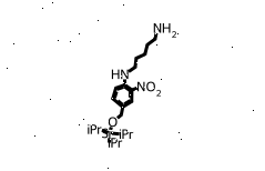 CC(C)[Si](OCc1ccc(NCCCCCN)c([N+](=O)[O-])c1)(C(C)C)C(C)C